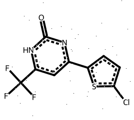 O=c1nc(-c2ccc(Cl)s2)cc(C(F)(F)F)[nH]1